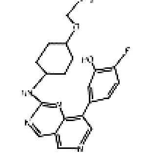 CCOC1CCC(Nc2ncc3cncc(-c4ccc(F)c(O)c4)c3n2)CC1